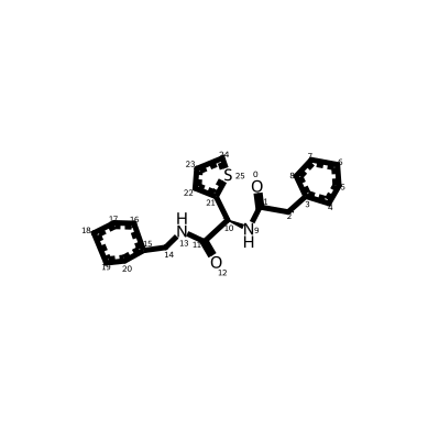 O=C([CH]c1ccccc1)N[C@@H](C(=O)NCc1ccccc1)c1cccs1